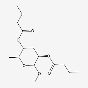 CCCC(=O)OC1C[C@@H](OC(=O)CCC)C(OC)O[C@H]1C